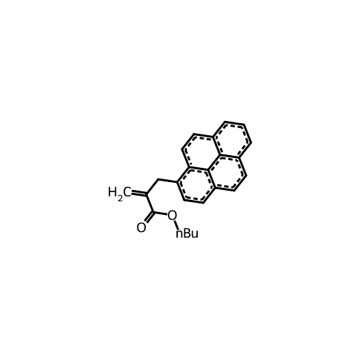 C=C(Cc1ccc2ccc3cccc4ccc1c2c34)C(=O)OCCCC